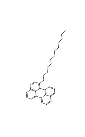 CCCCCCCCCCCCCc1ccc2cccc3c4cccc5cccc(c1c23)c54